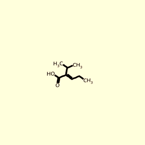 CC/C=C(/C(=O)O)C(C)C